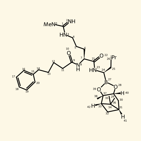 CNC(=N)NCCC[C@H](NC(=O)CCCCc1ccccc1)C(=O)N[C@@H](CC(C)C)B1O[C@@H]2C[C@@H]3C[C@@H](C3(C)C)[C@]2(C)O1